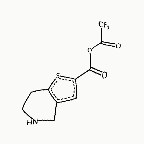 O=C(OC(=O)C(F)(F)F)c1cc2c(s1)CCNC2